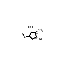 COC1C[C@@H](N)[C@H](N)C1.Cl